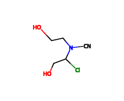 N#CN(CCO)C(Cl)CO